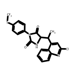 CC(c1cc(Cl)nc2ccccc12)C1NC(=O)N(c2ccc(SC(F)(F)F)cc2)C1=O